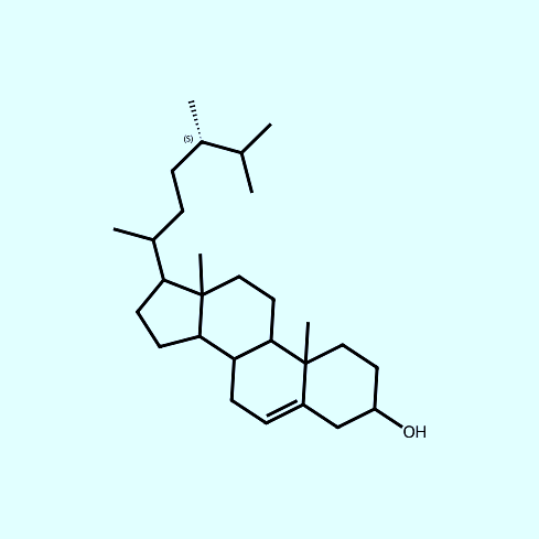 CC(CC[C@H](C)C(C)C)C1CCC2C3CC=C4CC(O)CCC4(C)C3CCC12C